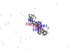 Cc1cnn(C2CC(n3cnc4c(N)nc(NC5CCCC5OCc5ccccc5)nc43)C(O)C2O)c1